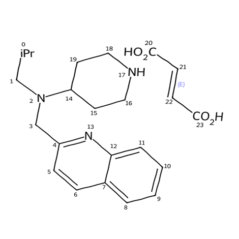 CC(C)CN(Cc1ccc2ccccc2n1)C1CCNCC1.O=C(O)/C=C/C(=O)O